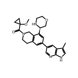 COC1(C(=O)N2CCc3cc(-c4cnc5[nH]cc(C)c5c4)cc([C@@H]4COCCN4)c3C2)CC1